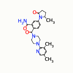 Cc1cnc(N2CCN(C(=O)c3ccc(N4C(=O)CCC4C)cc3C(N)=O)CC2)c(C)c1